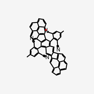 Cc1cc(C#N)c(-c2c3cc4c(cc3c(-c3c(C#N)cc(C)cc3C#N)c3c5cc6cccc7ccc8ccc(c23)c5c8c76)c2ccc3ccc5cccc6cc4c2c3c56)c(C#N)c1